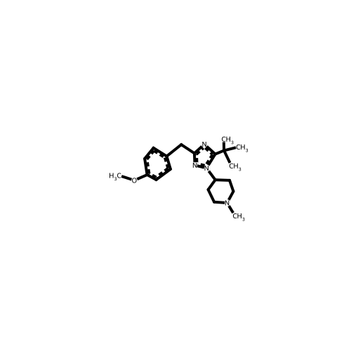 COc1ccc(Cc2nc(C(C)(C)C)n(C3CCN(C)CC3)n2)cc1